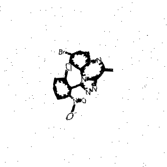 Cc1nc2ccc(Br)cc2n2c(-c3c(Cl)cccc3[N+](=O)[O-])nnc12